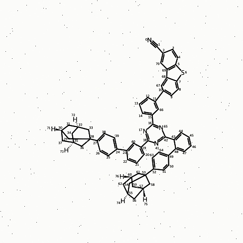 N#Cc1ccc2sc3ccc(-c4cccc(-c5nc(-c6cccc(-c7ccc(C89C[C@H]%10C[C@@H](C8)C[C@@H](C9)C%10)cc7)c6)nc(-c6ccccc6-c6ccc(C78C[C@H]9C[C@@H](C7)C[C@@H](C8)C9)cc6)n5)c4)cc3c2c1